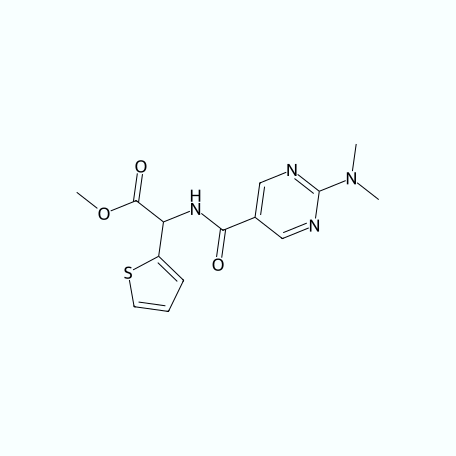 COC(=O)C(NC(=O)c1cnc(N(C)C)nc1)c1cccs1